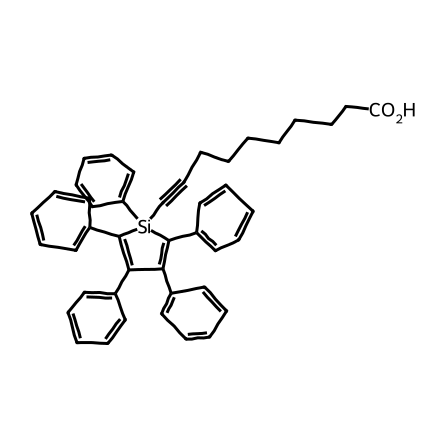 O=C(O)CCCCCCCC#C[Si]1(c2ccccc2)C(c2ccccc2)=C(c2ccccc2)C(c2ccccc2)=C1c1ccccc1